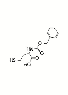 O=C(NC(CCS)C(=O)O)OCc1ccccc1